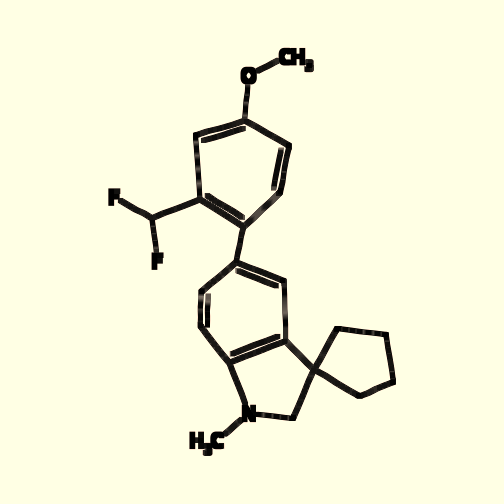 COc1ccc(-c2ccc3c(c2)C2(CCCC2)CN3C)c(C(F)F)c1